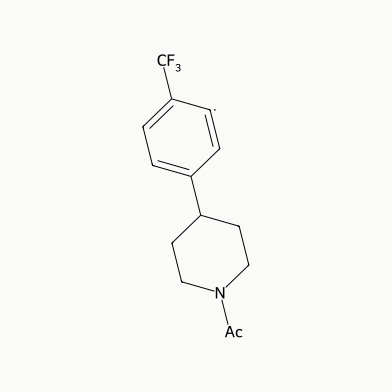 CC(=O)N1CCC(c2c[c]c(C(F)(F)F)cc2)CC1